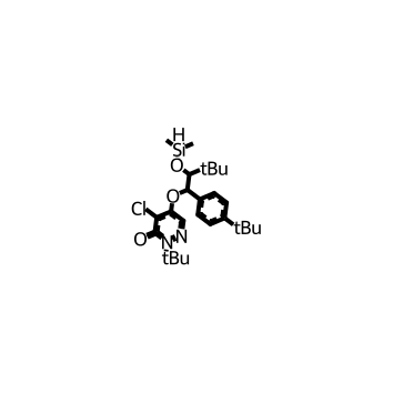 C[SiH](C)OC(C(Oc1cnn(C(C)(C)C)c(=O)c1Cl)c1ccc(C(C)(C)C)cc1)C(C)(C)C